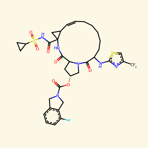 O=C1NC2(C(=O)NS(=O)(=O)C3CC3)CC2/C=C\CCCCCC(Nc2nc(C(F)(F)F)cs2)C(=O)N2C[C@H](OC(=O)N3Cc4cccc(F)c4C3)CC12